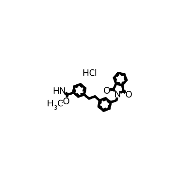 COC(=N)c1cccc(CCc2cccc(CN3C(=O)c4ccccc4C3=O)c2)c1.Cl